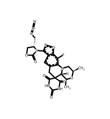 C[C@@H]1CN2c3c(cc4c(N5C(=O)OC[C@@H]5CN=[N+]=[N-])noc4c3F)CC3(C(=O)NC(=O)NC3=O)[C@H]2[C@H](C)O1